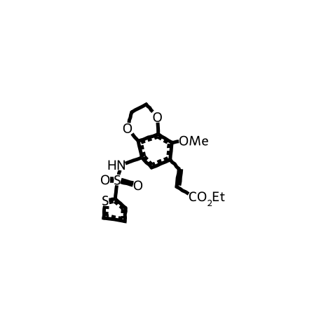 CCOC(=O)/C=C/c1cc(NS(=O)(=O)c2cccs2)c2c(c1OC)OCCO2